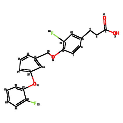 O=C(O)CCc1ccc(OCc2cccc(Oc3ccccc3F)c2)c(F)c1